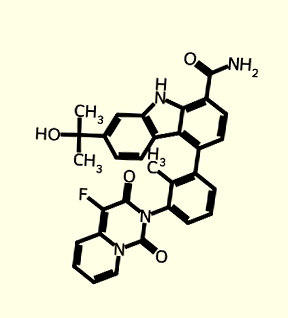 Cc1c(-c2ccc(C(N)=O)c3[nH]c4cc(C(C)(C)O)ccc4c23)cccc1-n1c(=O)c(F)c2ccccn2c1=O